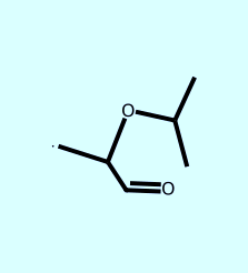 [CH2]C(C=O)OC(C)C